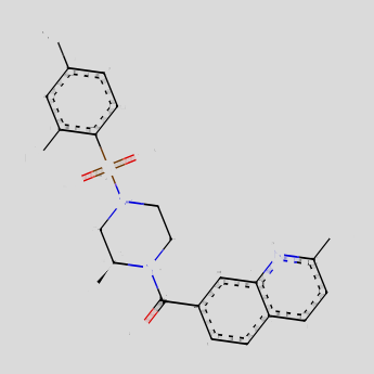 Cc1ccc2ccc(C(=O)N3CCN(S(=O)(=O)c4ccc(C#N)cc4C)C[C@@H]3C)cc2n1